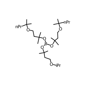 CCCC(C)(C)OCCC(C)(C)OB(OC(C)(C)CCOC(C)C)OC(C)(C)CCOC(C)(C)CCC